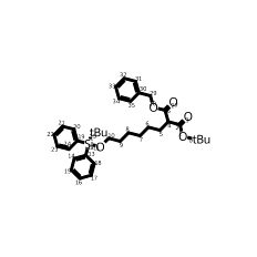 CC(C)(C)OC(=O)C(CCCCCCO[Si](c1ccccc1)(c1ccccc1)C(C)(C)C)C(=O)OCc1ccccc1